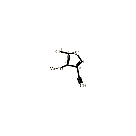 C#Cc1csc(Cl)c1OC